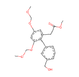 COCOc1cc(CC(=O)OC)c(-c2cccc(CO)c2)c(OCOC)c1